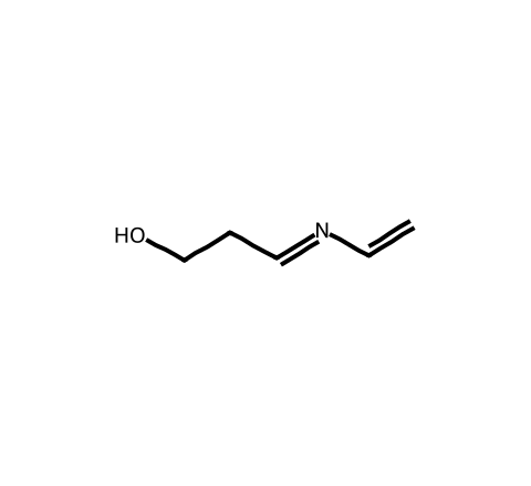 C=CN=CCCO